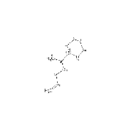 C=CCOC(C)[SiH]1CCCCO1